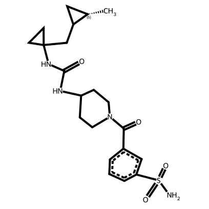 C[C@H]1CC1CC1(NC(=O)NC2CCN(C(=O)c3cccc(S(N)(=O)=O)c3)CC2)CC1